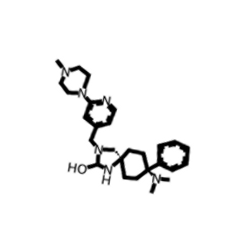 CN1CCN(c2cc(CN3C[C@]4(CC[C@](c5ccccc5)(N(C)C)CC4)NC3O)ccn2)CC1